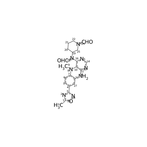 Cc1nc(-c2ccc(N(C)c3c(N)ncnc3N(C=O)C3CCCN(C=O)C3)cc2)no1